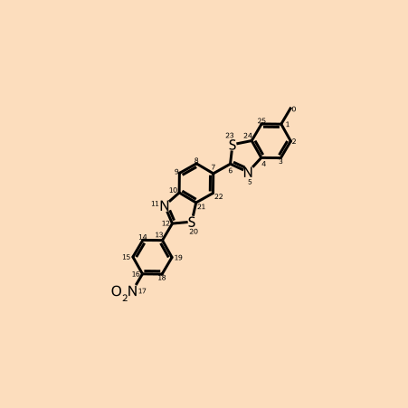 Cc1ccc2nc(-c3ccc4nc(-c5ccc([N+](=O)[O-])cc5)sc4c3)sc2c1